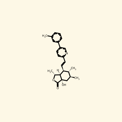 Cc1cccc(-c2ccc(/C=C/[C@H]3[C@H](C)[C@@H](C)C[C@@]4(O)C(=O)O[C@H](C)[C@@H]34)nc2)c1